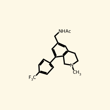 CC(=O)NCc1cc2c(c(-c3ccc(C(F)(F)F)cc3)c1)CN(C)CC2